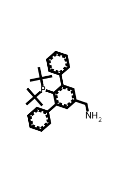 CC(C)(C)P(c1c(-c2ccccc2)cc(CN)cc1-c1ccccc1)C(C)(C)C